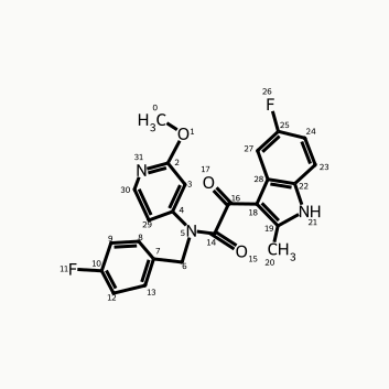 COc1cc(N(Cc2ccc(F)cc2)C(=O)C(=O)c2c(C)[nH]c3ccc(F)cc23)ccn1